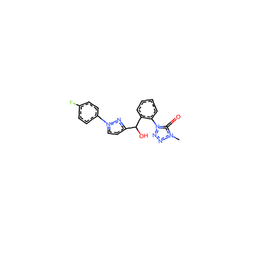 Cn1nnn(-c2ccccc2C(O)c2ccn(-c3ccc(F)cc3)n2)c1=O